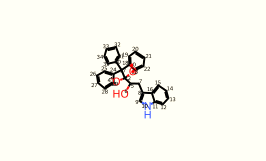 COC(OC)(C(O)Cc1c[nH]c2ccccc12)C(c1ccccc1)(c1ccccc1)c1ccccc1